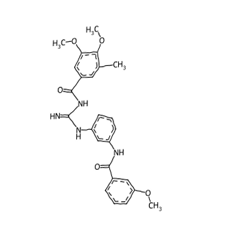 COc1cccc(C(=O)Nc2cccc(NC(=N)NC(=O)c3cc(C)c(OC)c(OC)c3)c2)c1